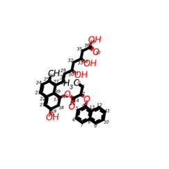 CCC(Oc1cccc2ccccc12)C(=O)OC1CC(O)C=C2C=CC(C)C(CCC(O)CC(O)CC(=O)O)C21